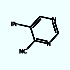 CC(C)c1cncnc1C#N